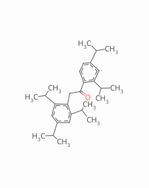 CC(C)c1[c]c(C(C)C)c(C(=O)Cc2c(C(C)C)cc(C(C)C)cc2C(C)C)cc1